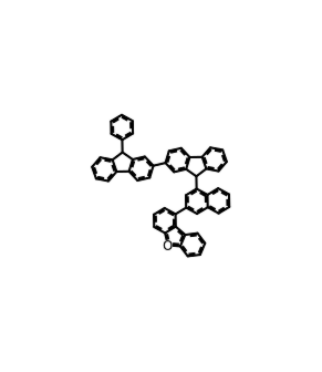 c1ccc(C2c3ccccc3-c3ccc(-c4ccc5c(c4)C(c4cc(-c6cccc7oc8ccccc8c67)cc6ccccc46)c4ccccc4-5)cc32)cc1